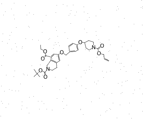 C=CCOC(=O)N1CCC(Oc2ccc(COc3cc4c(c(C(=O)OCC)c3)CN(C(=O)OC(C)(C)C)CC4)cc2)CC1